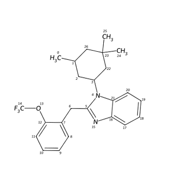 CC1CC(n2c(Cc3ccccc3OC(F)(F)F)nc3ccccc32)CC(C)(C)C1